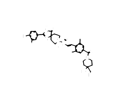 Cc1cc(C(=O)N2CCC(O)(CF)CC2)cc(C)c1C=CS(=O)(=O)N1CCC2(CC1)N=C(c1ccc(F)c(Cl)c1)NC2=O